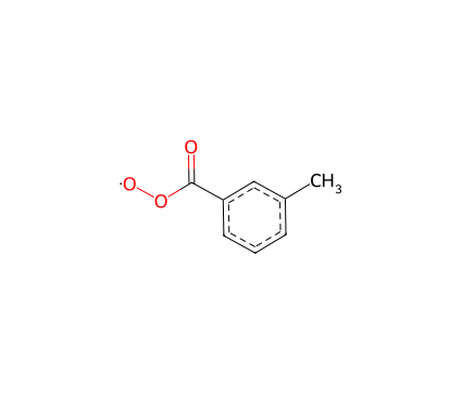 Cc1cccc(C(=O)O[O])c1